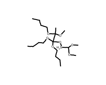 CCCCOC(C)(OC)C(OCCCC)(OCCCC)O[SiH2]C(OC)OC